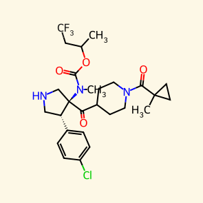 CC(CC(F)(F)F)OC(=O)N(C)[C@]1(C(=O)C2CCN(C(=O)C3(C)CC3)CC2)CNC[C@H]1c1ccc(Cl)cc1